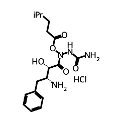 CC(C)CCC(=O)ON(NC(N)=O)C(=O)[C@@H](O)[C@H](N)Cc1ccccc1.Cl